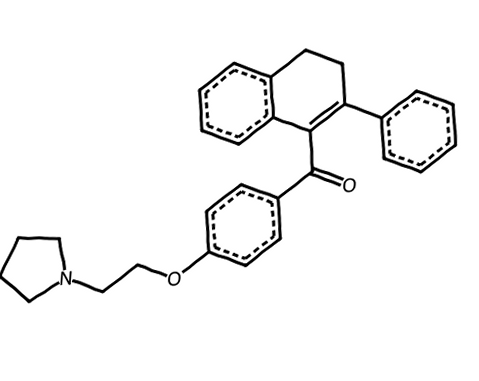 O=C(C1=C(c2ccccc2)CCc2ccccc21)c1ccc(OCCN2CCCC2)cc1